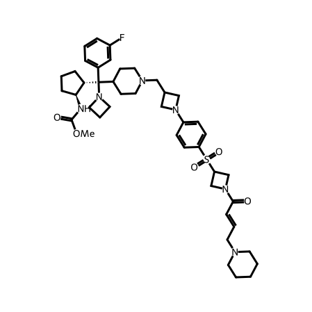 COC(=O)N[C@H]1CCC[C@@H]1C(c1cccc(F)c1)(C1CCN(CC2CN(c3ccc(S(=O)(=O)C4CN(C(=O)/C=C/CN5CCCCC5)C4)cc3)C2)CC1)N1CCC1